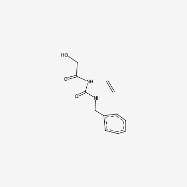 C=C.O=C(CO)NC(=O)NCc1ccccc1